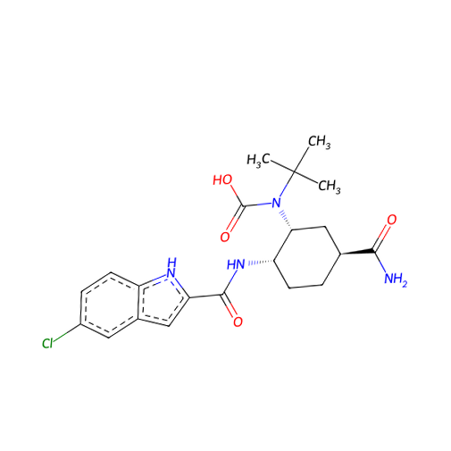 CC(C)(C)N(C(=O)O)[C@@H]1C[C@@H](C(N)=O)CC[C@@H]1NC(=O)c1cc2cc(Cl)ccc2[nH]1